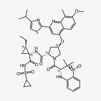 CC[C@@H]1C[C@]1(NC(=O)[C@@H]1C[C@@H](Oc2cc(-c3nc(C(C)C)cs3)nc3c(C)c(OC)ccc23)CN1C(=O)[C@@H](Nc1ccccc1[N+](=O)[O-])C(C)(C)C)C(=O)NS(=O)(=O)C1CC1